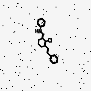 ClC1=C(/C=C/c2ccccc2)CCC/C1=C\Nc1ccccc1